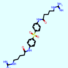 N=C(N)NCCCCC(=O)Nc1ccc(S(=O)(=O)c2ccc(NC(=O)CCCCNC(=N)N)cc2)cc1